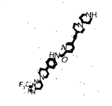 O=C(Nc1ccc(C2CCN(C3=Nn4c(nnc4C(F)(F)F)CC3)CC2)cc1)c1ccc(C#CC2CCN(C3CCNCC3)CC2)cn1